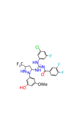 COc1cc(O)cc(N2NC(C(F)(F)F)CC2N/C(=N\C(=O)c2ccc(F)c(F)c2)Nc2cc(F)cc(Cl)c2)c1